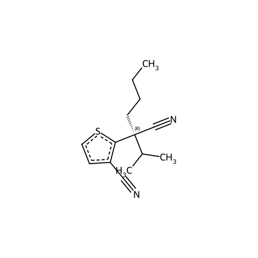 CCCC[C@@](C#N)(c1sccc1C#N)C(C)C